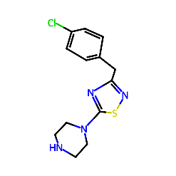 Clc1ccc(Cc2nsc(N3CCNCC3)n2)cc1